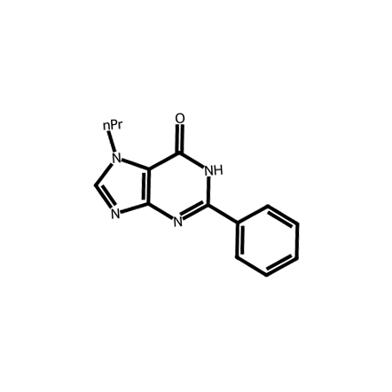 CCCn1cnc2nc(-c3ccccc3)[nH]c(=O)c21